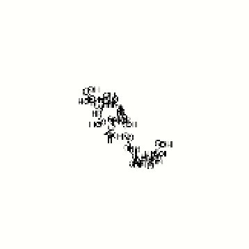 CC(C)(C)[SiH](c1ccc(C(=O)NCC(C(=O)NC(CCCCNC(=O)CCC(=O)NCCCC(NC(=O)CC[C@H](NC(=O)N[C@@H](CCC(=O)O)C(=O)O)C(=O)O)C(=O)O)C(=O)O)n2cc(CNC(=O)CC[PH](O)(O)CN3CCN(CPCCC(=O)O)CCN(CP(=O)(O)CCC(=O)O)CC3)nn2)cc1)C(C)(C)C